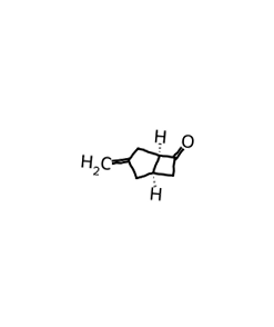 C=C1C[C@@H]2CC(=O)[C@@H]2C1